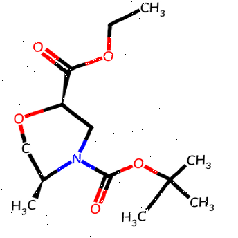 CCOC(=O)[C@H]1CN(C(=O)OC(C)(C)C)[C@@H](C)CO1